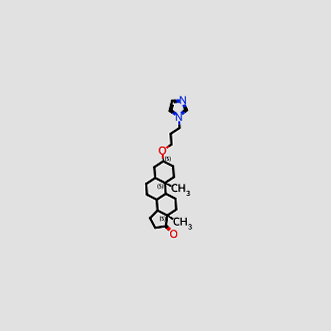 C[C@]12CC[C@H](OCCCn3ccnc3)CC1CCC1C2CC[C@]2(C)C(=O)CCC12